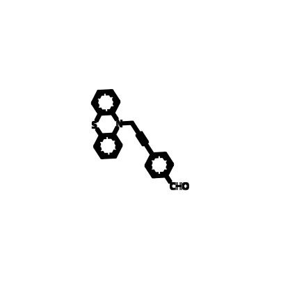 O=Cc1ccc(C#CCN2c3ccccc3Sc3ccccc32)cc1